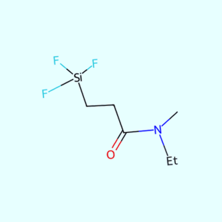 CCN(C)C(=O)CC[Si](F)(F)F